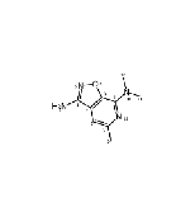 Cc1cc2c(N)noc2c(N(C)C)n1